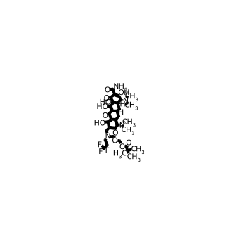 CN(C)c1cc(CN(CCC(F)(F)F)C(=O)OCOC(=O)C(C)(C)C)c(O)c2c1C[C@H]1C[C@H]3[C@@H](N(C)C)C(O)=C(C(N)=O)C(=O)[C@@]3(O)C(O)=C1C2=O